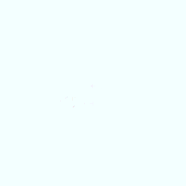 CCCCCCCCCCCCCC(=O)P(SC(O)C(O)CO)C(=O)CCCCCCCCCCCCC